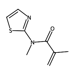 C=C(C)C(=O)N(C)c1nccs1